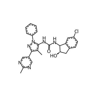 Cc1ncc(-c2nn(-c3ccccc3)c(NC(=O)NC3c4cc(Cl)ccc4C[C@H]3O)c2C)cn1